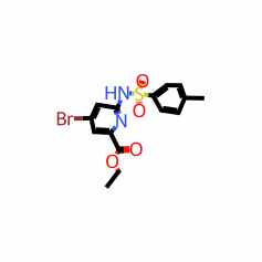 CCOC(=O)c1cc(Br)cc(NS(=O)(=O)c2ccc(C)cc2)n1